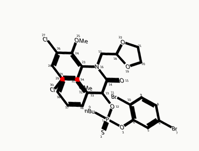 CCCCP(=S)(Oc1cc(Br)ccc1Br)OC(C(=O)N(CC1OCCO1)c1c(OC)c(Cl)cc(Cl)c1OC)c1ccccc1